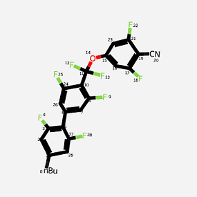 CCCCc1cc(F)c(-c2cc(F)c(C(F)(F)Oc3cc(F)c(C#N)c(F)c3)c(F)c2)c(F)c1